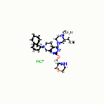 Cl.N#CCC1CN(c2nc(OC[C@H]3COCCN3)nc3c2CCN(c2cccc4ccccc24)C3)CCN1C(=O)O